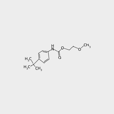 COCCOC(=O)Nc1ccc(C(C)(C)C)cc1